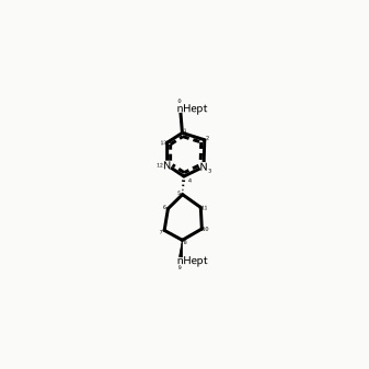 CCCCCCCc1cnc([C@H]2CC[C@H](CCCCCCC)CC2)nc1